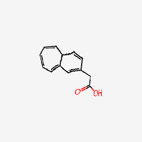 O=C(O)CC1=CC2=CC=CC=CC2C=C1